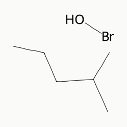 CCCC(C)C.OBr